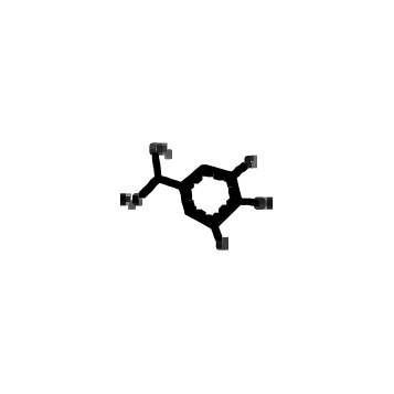 CC(C)c1cc(Cl)c(O)c(Cl)c1